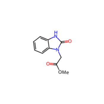 COC(=O)Cn1c(=O)[nH]c2ccccc21